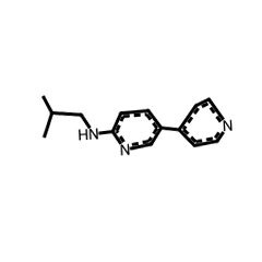 CC(C)CNc1ccc(-c2ccncc2)cn1